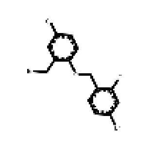 Fc1cc(Br)ccc1COc1ccc(Cl)cc1CBr